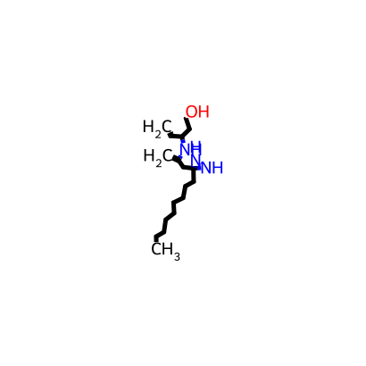 C=CC(CCO)NC(=C)CC1(CCCCCCCCC)NN1